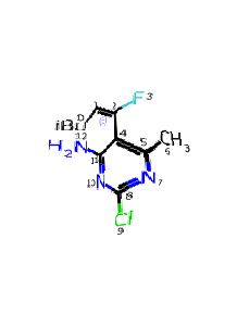 CCC(C)/C=C(/F)c1c(C)nc(Cl)nc1N